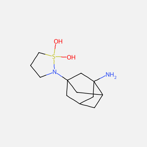 NC12CC3CC1CC(N1CCCS1(O)O)(C3)C2